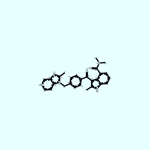 Cc1[nH]c2cccc(C(=O)N(C)C)c2c1C(=O)c1ccc(Cn2c(C)nc3cnccc32)cc1